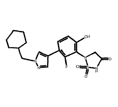 O=C1CN(c2c(O)ccc(-c3cnn(CC4CCCCC4)c3)c2F)S(=O)(=O)N1